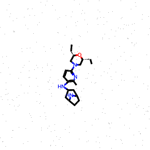 CC[C@@H]1CN(c2ccc(NC3CC4CCC(C3)N4)c(C)n2)C[C@H](CC)O1